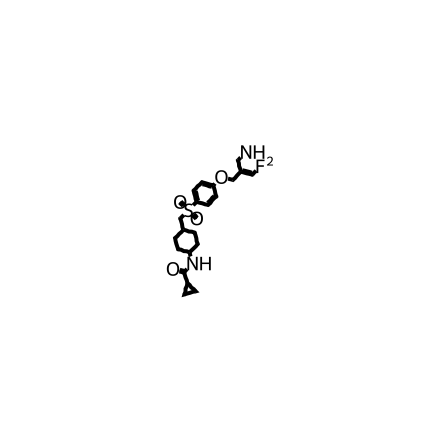 NC/C(=C\F)COc1ccc(S(=O)(=O)CC2CCC(NC(=O)C3CC3)CC2)cc1